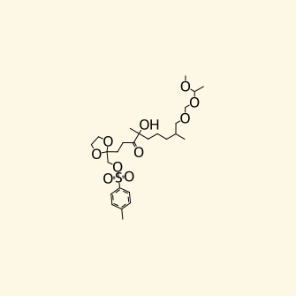 COC(C)OCOCC(C)CCCC(C)(O)C(=O)CCC1(COS(=O)(=O)c2ccc(C)cc2)OCCO1